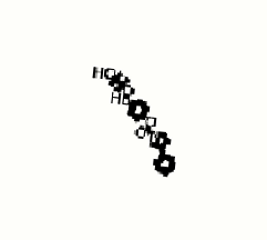 CC(C)(O)C(C)(C)OBc1ccc(OC(=O)N2CCC(c3ccccc3)C2)cc1